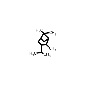 CC(C)C1CC2CC(C1C)C2(C)C